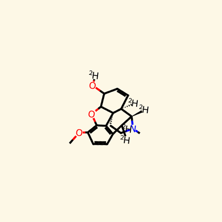 [2H]OC1C=C[C@]2([2H])[C@@]34CCN(C)[C@]2([2H])C([2H])([2H])c2ccc(OC)c(c23)OC14